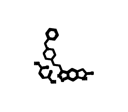 O=C(O)/C=C\C(=O)O.O=C1Cc2cc3c(CCC4CCN(Cc5ccccc5)CC4)noc3cc2N1